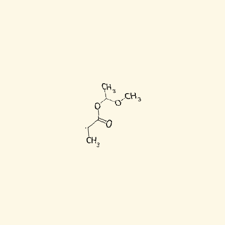 C[CH]C(=O)OC(C)OC